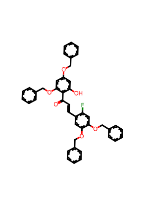 O=C(C=Cc1cc(OCc2ccccc2)c(OCc2ccccc2)cc1F)c1c(O)cc(OCc2ccccc2)cc1OCc1ccccc1